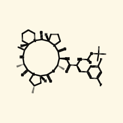 CC1N[C@@H](C)C(=O)N2C[C@@H](C)C[C@H]2C(=O)O[C@@H](C)[C@H](NC(=O)[C@H](Cc2cc(F)cc(F)c2)NC(=O)OC(C)(C)C)C(=O)N2CCC[C@H]2C(=O)N2CCCC[C@@H]12